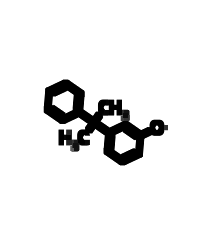 CC(C)(c1ccccc1)c1cccc([O])c1